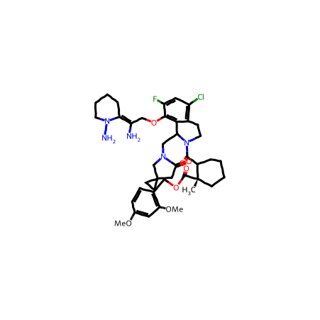 COc1ccc(COC(=O)[C@@]2(C)CCCCC2C(=O)N2CCc3c(Cl)cc(F)c(OC/C(N)=C4\CCCCN4N)c3C2CN2CC3(CC3)CC2=O)c(OC)c1